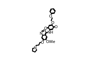 COc1cc2c(NC3=CC(=O)C(OCCOc4ccccc4)=CC3=O)ncnc2cc1OCCCN1CCCC1